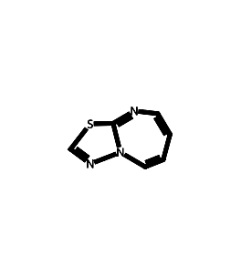 C1=CN=C2SC=NN2C=C1